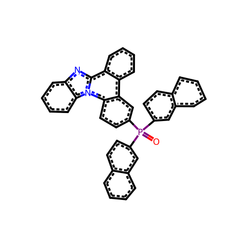 O=P(c1ccc2ccccc2c1)(c1ccc2ccccc2c1)c1ccc2c(c1)c1ccccc1c1nc3ccccc3n21